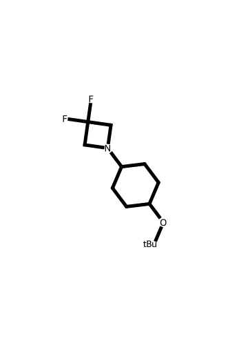 CC(C)(C)OC1CCC(N2CC(F)(F)C2)CC1